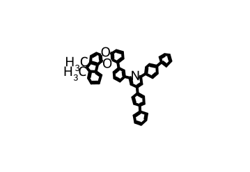 CC1(C)c2ccccc2-c2c1ccc1c2Oc2c(cccc2-c2cccc(-c3cc(-c4ccc(-c5ccccc5)cc4)cc(-c4ccc(-c5ccccc5)cc4)n3)c2)O1